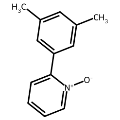 Cc1cc(C)cc(-c2cccc[n+]2[O-])c1